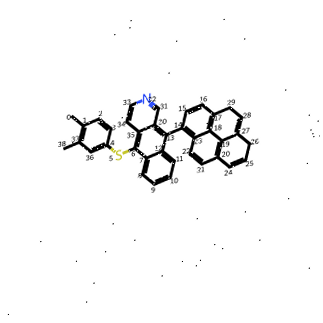 Cc1ccc(Sc2c3ccccc3c(-c3ccc4c5c6c(ccc35)C=CCC6=CC4)c3cnccc23)cc1C